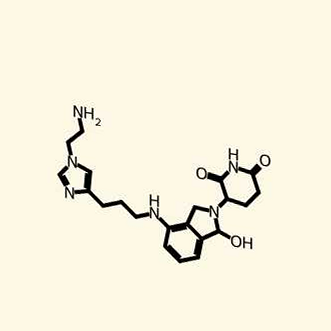 NCCn1cnc(CCCNc2cccc3c2CN(C2CCC(=O)NC2=O)C3O)c1